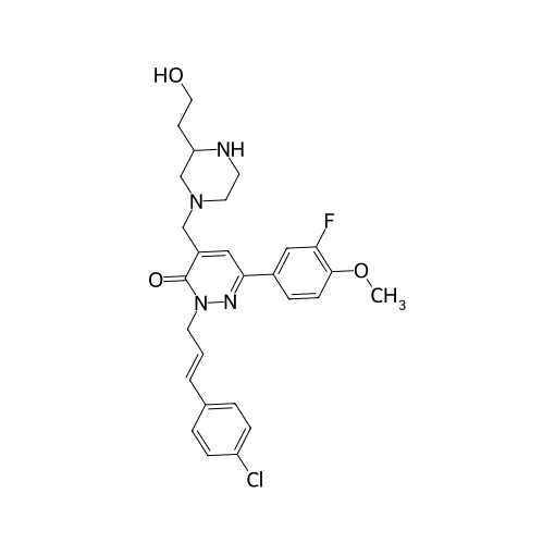 COc1ccc(-c2cc(CN3CCNC(CCO)C3)c(=O)n(CC=Cc3ccc(Cl)cc3)n2)cc1F